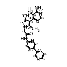 Cc1nn(CC(=O)Nc2ccc(-c3cnccn3)cn2)c(C)c1C1=CC=NC(N)C1C